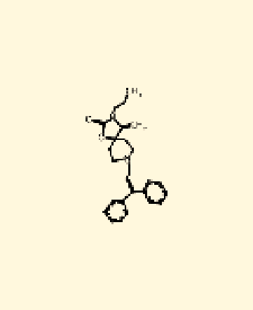 C=C1N(CCC)C(=O)OC12CCN(CC=C(c1ccccc1)c1ccccc1)CC2